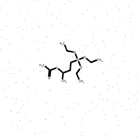 CCO[Si](CCC(C)SC(C)=O)(OCC)OCC